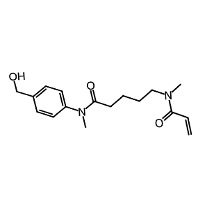 C=CC(=O)N(C)CCCCC(=O)N(C)c1ccc(CO)cc1